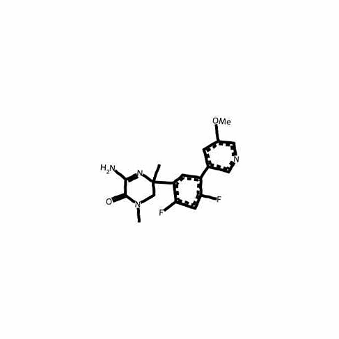 COc1cncc(-c2cc(C3(C)CN(C)C(=O)C(N)=N3)c(F)cc2F)c1